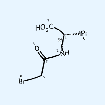 CC(C)[C@H](NC(=O)CBr)C(=O)O